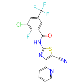 N#Cc1sc(NC(=O)c2cc(C(F)(F)F)cc(Cl)c2F)nc1-c1ccccn1